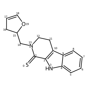 S=C1c2[nH]c3ccccc3c2CCN1CC1CC=CO1